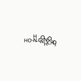 Cc1c(Nc2cccc3cc(CNCCO)cnc23)cccc1-c1ccccc1